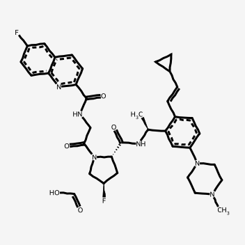 C[C@H](NC(=O)[C@@H]1C[C@@H](F)CN1C(=O)CNC(=O)c1ccc2cc(F)ccc2n1)c1cc(N2CCN(C)CC2)ccc1/C=C/C1CC1.O=CO